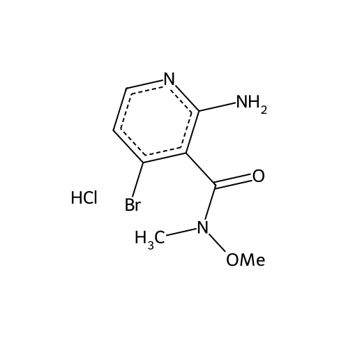 CON(C)C(=O)c1c(Br)ccnc1N.Cl